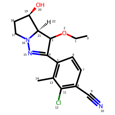 CCOC1C(c2ccc(C#N)c(Cl)c2C)=NN2CC[C@@H](O)[C@@H]12